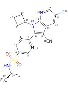 C[C@H](NS(=O)(=O)c1ccc(-c2c(C#N)c3cc(F)cnc3n2C2CCC2)nc1)C(F)(F)F